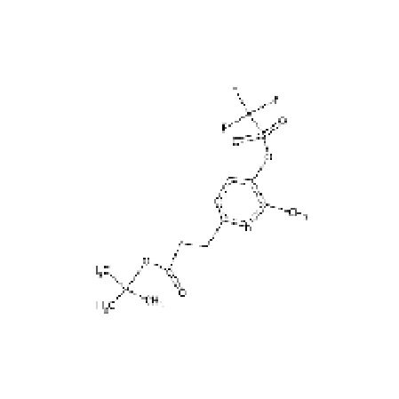 Cc1nc(CCC(=O)OC(C)(C)C)ccc1OS(=O)(=O)C(F)(F)F